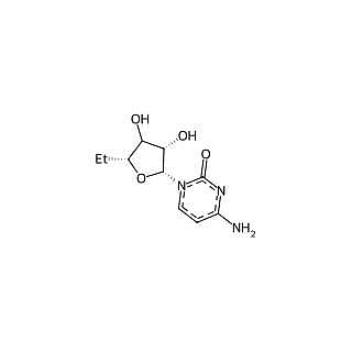 CC[C@H]1O[C@@H](n2ccc(N)nc2=O)[C@@H](O)C1O